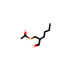 CCCCC(C=O)CSC(C)=O